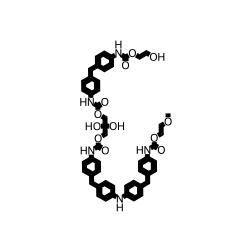 COCCOC(=O)Nc1ccc(Cc2ccc(Nc3ccc(Cc4ccc(NC(=O)OCC(O)(O)COC(=O)Nc5ccc(Cc6ccc(NC(=O)OCCO)cc6)cc5)cc4)cc3)cc2)cc1